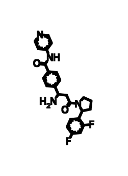 NC(CC(=O)N1CCCC1c1ccc(F)cc1F)c1ccc(C(=O)Nc2ccncc2)cc1